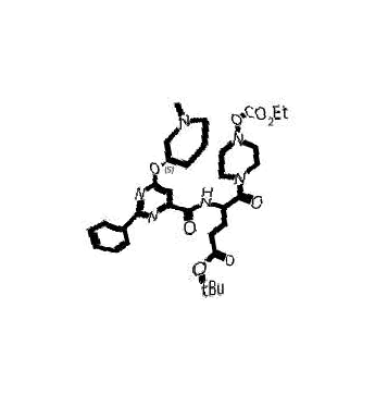 CCOC(=O)ON1CCN(C(=O)C(CCC(=O)OC(C)(C)C)NC(=O)c2cc(O[C@H]3CCCN(C)C3)nc(-c3ccccc3)n2)CC1